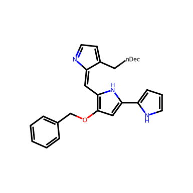 CCCCCCCCCCCC1=CC=NC1=Cc1[nH]c(-c2ccc[nH]2)cc1OCc1ccccc1